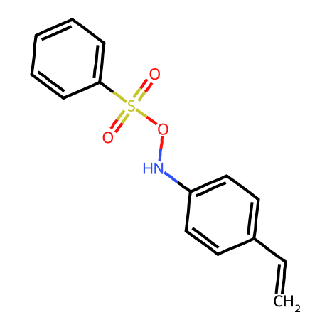 C=Cc1ccc(NOS(=O)(=O)c2ccccc2)cc1